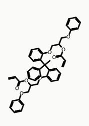 C=CC(=O)OC(COc1ccccc1)COc1ccccc1C(C)(c1ccccc1)c1ccccc1OCC(COc1ccccc1)OC(=O)C=C